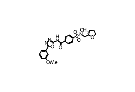 COc1cccc(-c2nnc(NC(=O)c3ccc(S(=O)(=O)N(C)CC4CCCO4)cc3)o2)c1